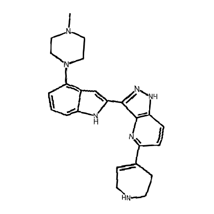 CN1CCN(c2cccc3[nH]c(-c4n[nH]c5ccc(C6=CCNCC6)nc45)cc23)CC1